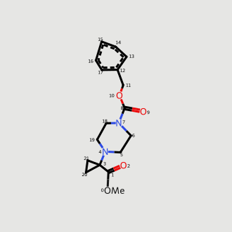 COC(=O)C1(N2CCN(C(=O)OCc3ccccc3)CC2)CC1